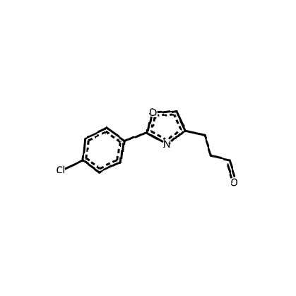 O=CCCc1coc(-c2ccc(Cl)cc2)n1